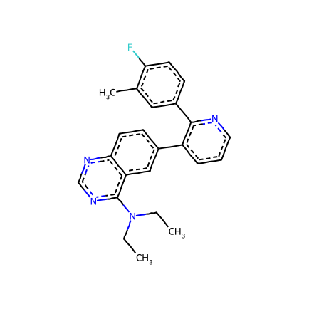 CCN(CC)c1ncnc2ccc(-c3cccnc3-c3ccc(F)c(C)c3)cc12